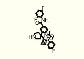 CC(=O)[N+]1(S(=O)(=O)c2ccc(F)cc2)c2ccc(C(=O)Nc3cc(F)ccc3F)cc2C2(CCNCC2)C1C1CC1